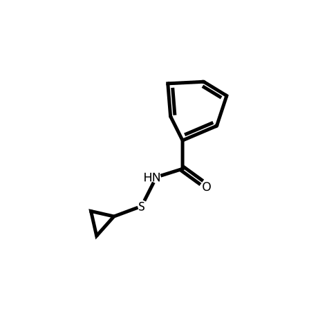 O=C(NSC1CC1)c1ccccc1